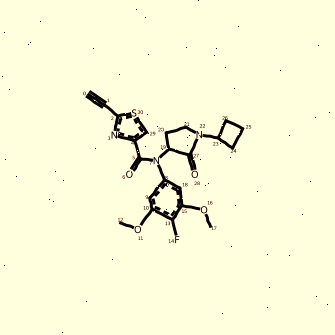 C#Cc1nc(C(=O)N(c2cc(OC)c(F)c(OC)c2)C2CCN(C3CCC3)C2=O)cs1